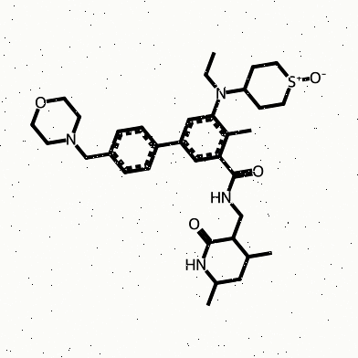 CCN(c1cc(-c2ccc(CN3CCOCC3)cc2)cc(C(=O)NCC2C(=O)NC(C)CC2C)c1C)C1CC[S+]([O-])CC1